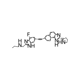 CCCNCc1nc2c(F)cc(C#Cc3ccc4c(ccc5nc([C@@H]6CCCN6)[nH]c54)c3)cc2[nH]1